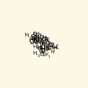 CC1(C)C[C@H]2[C@H](CN(C(=O)[C@@H](NC(=O)NC3(CS(=O)(=O)C(C)(C)C)CCCCC3)C(C)(C)C)[C@@H]2C(=O)NC(CC2CCC2)C(=O)C(=O)NC2CC2)O1